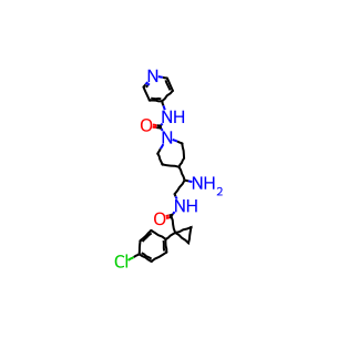 NC(CNC(=O)C1(c2ccc(Cl)cc2)CC1)C1CCN(C(=O)Nc2ccncc2)CC1